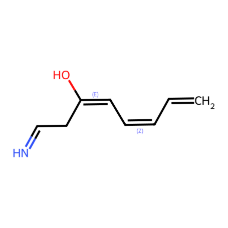 C=C/C=C\C=C(\O)CC=N